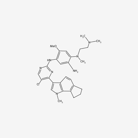 COc1cc(N(C)CCN(C)C)c(N)cc1Nc1ncc(Cl)c(-c2cn(C)c3c4c(ccc23)CCC4)n1